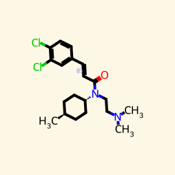 CN(C)CCN(C(=O)/C=C/c1ccc(Cl)c(Cl)c1)[C@H]1CC[C@H](C)CC1